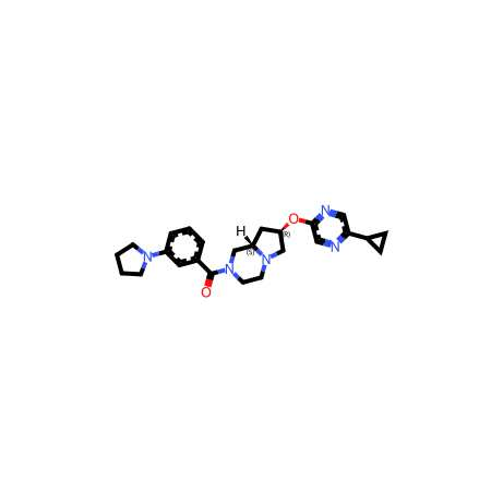 O=C(c1cccc(N2CCCC2)c1)N1CCN2C[C@H](Oc3cnc(C4CC4)cn3)C[C@H]2C1